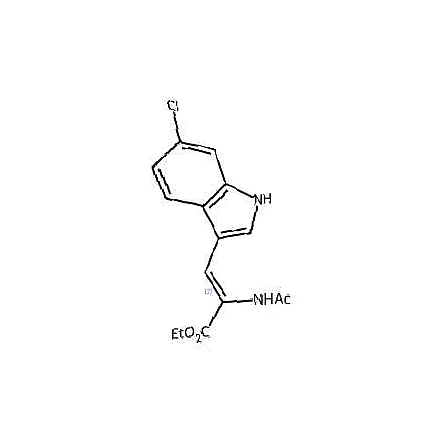 CCOC(=O)/C(=C/c1c[nH]c2cc(Cl)ccc12)NC(C)=O